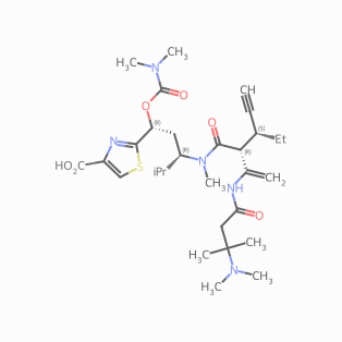 C#C[C@@H](CC)[C@H](C(=C)NC(=O)CC(C)(C)N(C)C)C(=O)N(C)[C@H](C[C@@H](OC(=O)N(C)C)c1nc(C(=O)O)cs1)C(C)C